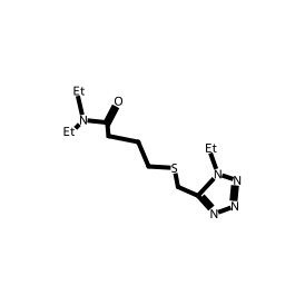 CCN(CC)C(=O)CCCSCc1nnnn1CC